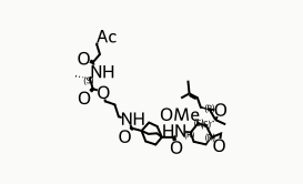 CO[C@H]1[C@H](C2(C)O[C@@H]2CC=C(C)C)[C@]2(CC[C@H]1NC(=O)C13CCC(C(=O)NCCCOC(=O)[C@H](C)NC(=O)CCC(C)=O)(CC1)CC3)CO2